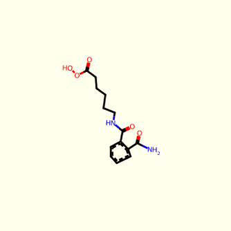 NC(=O)c1ccccc1C(=O)NCCCCCC(=O)OO